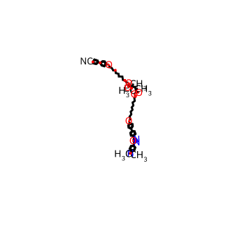 CCC(C)(CC(C)(C)C(=O)OCCCCCCCCCCCOc1ccc(-c2ccc(-c3nnc(-c4ccc(N(C)C)cc4)o3)cc2)cc1)C(=O)OCCCCCCCCCCCOc1ccc(-c2ccc(C#N)cc2)cc1